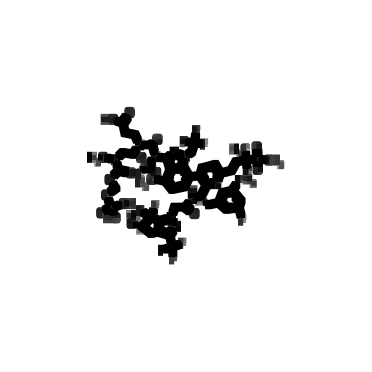 C[C@@H]1Cc2c(C(F)(F)F)nn(CC(=O)N[C@@H](Cc3cc(F)cc(F)c3)c3nc(CCC(C)(C)S(C)(=O)=O)ccc3-c3ccc(Cl)c4c(N(C(=O)N(CCC(=O)O)CCN(C)C(=O)OCOP(=O)(O)O)S(C)(=O)=O)nn(CC(F)(F)F)c34)c2C1(F)F